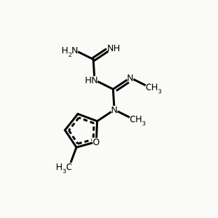 C/N=C(/NC(=N)N)N(C)c1ccc(C)o1